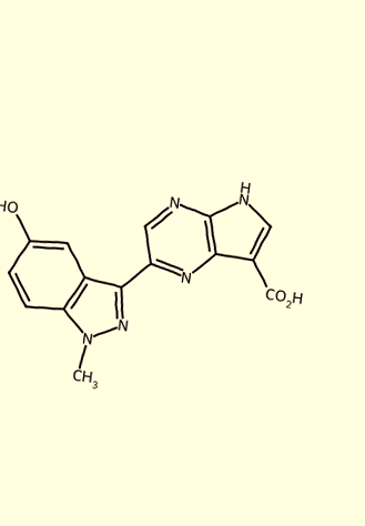 Cn1nc(-c2cnc3[nH]cc(C(=O)O)c3n2)c2cc(O)ccc21